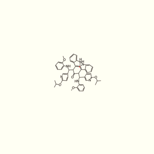 COc1ccccc1NC(c1ccc(OC(C)C)nc1)C(C(=O)C(c1c[nH]c2ccccc12)C(Nc1ccccc1OC)c1ccc(OC(C)C)nc1)c1c[nH]c2ccccc12